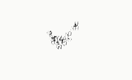 COc1nc(-c2ccnc(-c3cccc(NC(=O)c4ccc(CNC[C@@H]5CCO5)cn4)c3C)c2Cl)ccc1CNC[C@H]1CCO1